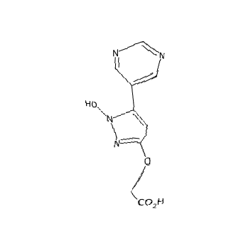 O=C(O)COc1cc(-c2cncnc2)n(O)n1